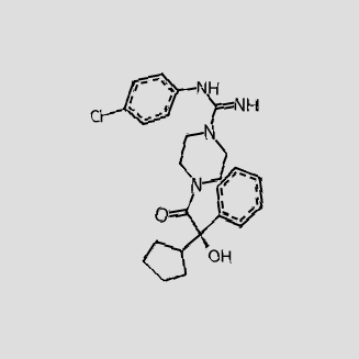 N=C(Nc1ccc(Cl)cc1)N1CCN(C(=O)[C@](O)(c2ccccc2)C2CCCC2)CC1